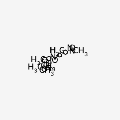 COc1ccc(NC(=O)c2ccc(-c3ccc(-c4noc(C)n4)cc3C)cc2)cc1OCC1CCCN1C(=O)OC(C)(C)C